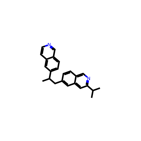 CC(C)c1cc2cc(CC(C)c3ccc4cnccc4c3)ccc2cn1